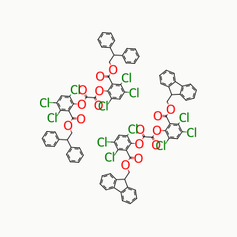 O=C(Oc1c(Cl)cc(Cl)c(Cl)c1C(=O)OCC(c1ccccc1)c1ccccc1)C(=O)Oc1c(Cl)cc(Cl)c(Cl)c1C(=O)OCC(c1ccccc1)c1ccccc1.O=C(Oc1c(Cl)cc(Cl)c(Cl)c1C(=O)OCC1c2ccccc2-c2ccccc21)C(=O)Oc1c(Cl)cc(Cl)c(Cl)c1C(=O)OCC1c2ccccc2-c2ccccc21